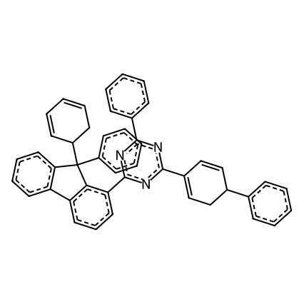 C1=CCC(C2(c3ccccc3)c3ccccc3-c3cccc(-c4nc(C5=CCC(c6ccccc6)C=C5)nc(-c5ccccc5)n4)c32)C=C1